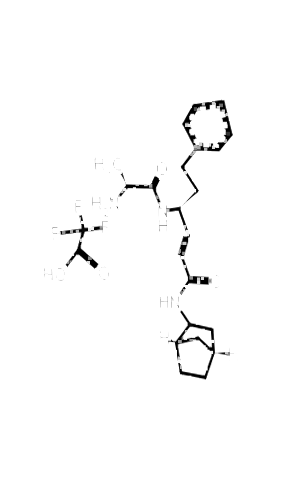 C[C@H](N)C(=O)N[C@H](/C=C/C(=O)NC1C[C@@H]2CC[C@H]1C2)CCc1ccccc1.O=C(O)C(F)(F)F